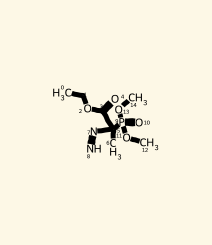 CCOC(=O)C(C)(N=N)P(=O)(OC)OC